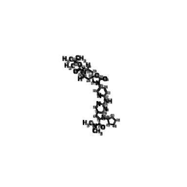 CN(C)C(=O)c1cc2cnc(Nc3ccc(N4C[C@@]5(C[C@H]6CC[C@@H](C5)N6C(=O)OC(C)(C)C)OC4=O)cn3)nc2n1C1CCCC1